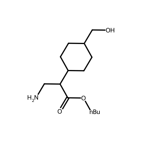 CCCCOC(=O)C(CN)C1CCC(CO)CC1